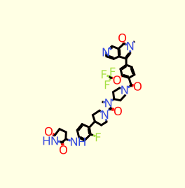 CN(C(=O)N1CCC(c2ccc(NC3CCC(=O)NC3=O)cc2F)CC1)C1CCN(C(=O)c2ccc(-c3cn(C)c(=O)c4cnccc34)cc2OC(F)(F)F)CC1